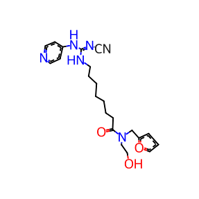 N#C/N=C(\NCCCCCCCC(=O)N(CCO)Cc1ccco1)Nc1ccncc1